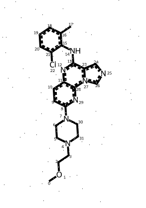 COCCN1CCN(c2ccc3nc(Nc4c(C)cccc4Cl)c4cncn4c3n2)CC1